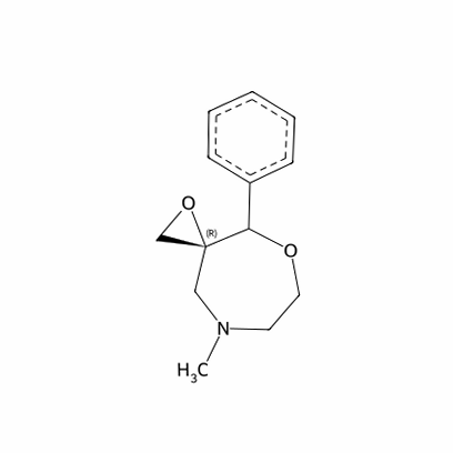 CN1CCOC(c2ccccc2)[C@]2(CO2)C1